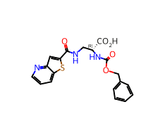 O=C(N[C@H](CNC(=O)c1cc2ncccc2s1)C(=O)O)OCc1ccccc1